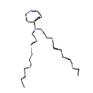 CCCCCCCCCCN(CCCCCCCCCC)c1ccncc1